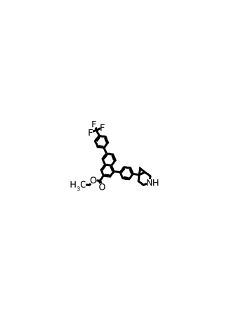 CCOC(=O)c1cc(-c2ccc(C34CCNCC3C4)cc2)c2ccc(-c3ccc(C(F)(F)F)cc3)cc2c1